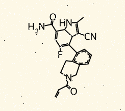 C=CC(=O)N1CCc2c(cccc2C2=C(F)C=C(C(N)=O)C3NC(C)=C(C#N)C23)C1